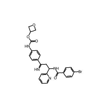 N=C(CC(NC(=O)c1ccc(Br)cc1)c1ccccn1)c1ccc(NC(=O)OC2COC2)cc1